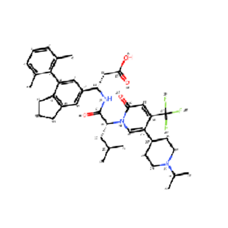 Cc1cccc(C)c1-c1cc([C@H](CC(=O)O)NC(=O)[C@@H](CC(C)C)n2cc(C3CCN(C(C)C)CC3)c(C(F)(F)F)cc2=O)cc2c1CCC2